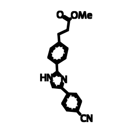 COC(=O)CCc1ccc(-c2nc(-c3ccc(C#N)cc3)c[nH]2)cc1